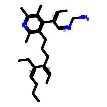 C/C=C(CCCc1c(C)nc(C)c(C)c1C(/C=N\CN)=C/C)\C(=C/CCC)CC